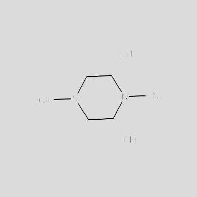 C[C@@H]1CN(C(C)(C)C)C[C@H](C)N1C#N